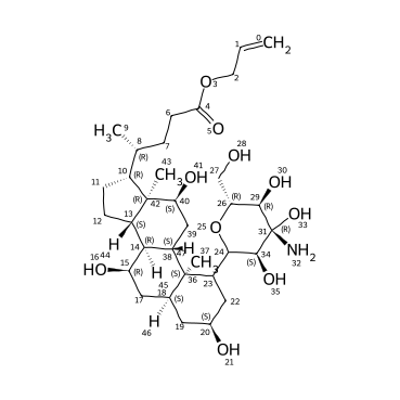 C=CCOC(=O)CC[C@@H](C)[C@H]1CC[C@H]2[C@@H]3[C@H](O)C[C@@H]4C[C@H](O)CC(C5O[C@H](CO)[C@@H](O)[C@](N)(O)[C@H]5O)[C@]4(C)[C@H]3C[C@H](O)[C@]12C